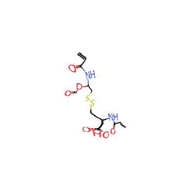 C=CC(=O)NC(CSSCC(NC(=O)C=C)C(=O)O)OC=O